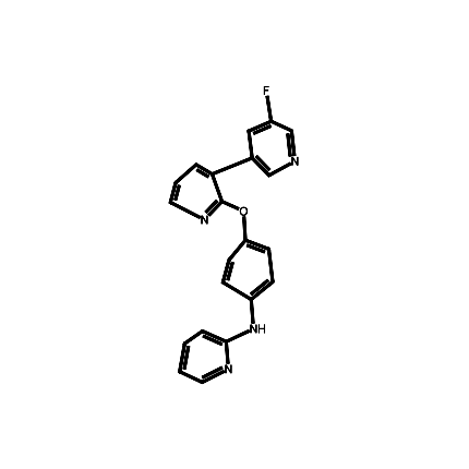 Fc1cncc(-c2cccnc2Oc2ccc(Nc3ccccn3)cc2)c1